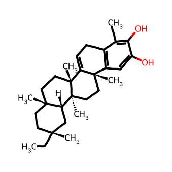 CC[C@]1(C)CC[C@]2(C)CC[C@]3(C)C4=CCc5c(cc(O)c(O)c5C)[C@]4(C)CC[C@@]3(C)[C@@H]2C1